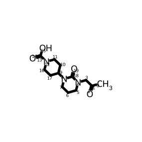 CC(=O)CN1CCCN(C2CCN(C(=O)O)CC2)C1=O